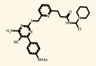 CCC(NC(=O)CCc1cccc(CSc2nc(N)c(C#N)c(-c3ccc(NC(C)=O)cc3)n2)n1)N1CCCCC1